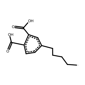 [CH2]CCCCc1ccc(C(=O)O)c(C(=O)O)c1